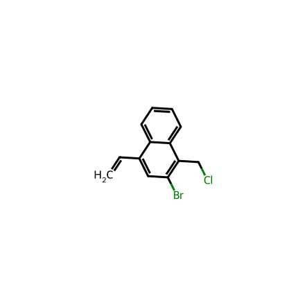 C=Cc1cc(Br)c(CCl)c2ccccc12